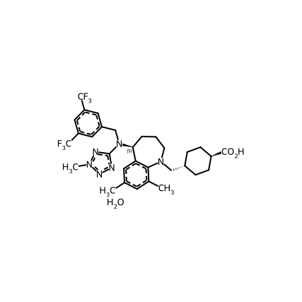 Cc1cc(C)c2c(c1)[C@@H](N(Cc1cc(C(F)(F)F)cc(C(F)(F)F)c1)c1nnn(C)n1)CCCN2C[C@H]1CC[C@H](C(=O)O)CC1.O